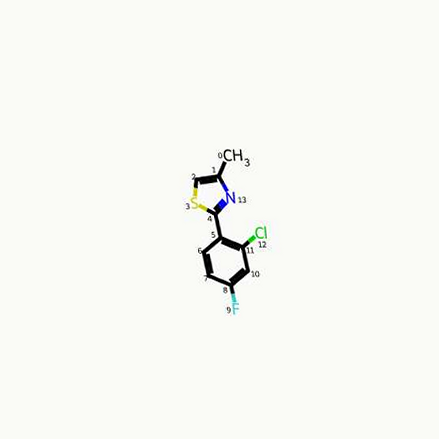 Cc1csc(-c2ccc(F)cc2Cl)n1